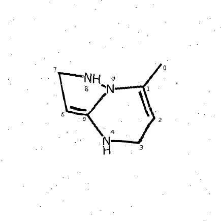 CC1=CCNC2=CCNN12